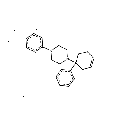 C1=CCC(c2ccccc2)(N2CCN(c3ccccn3)CC2)CC1